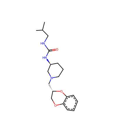 CC(C)CNC(=O)N[C@H]1CCCN(C[C@H]2COc3ccccc3O2)C1